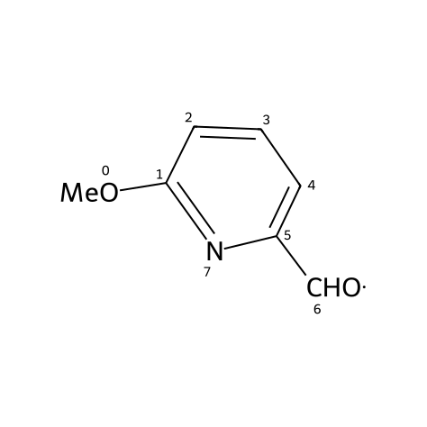 COc1cccc([C]=O)n1